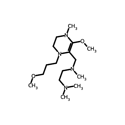 COCCCN1CCN(C)C(OC)=C1CN(C)CCN(C)C